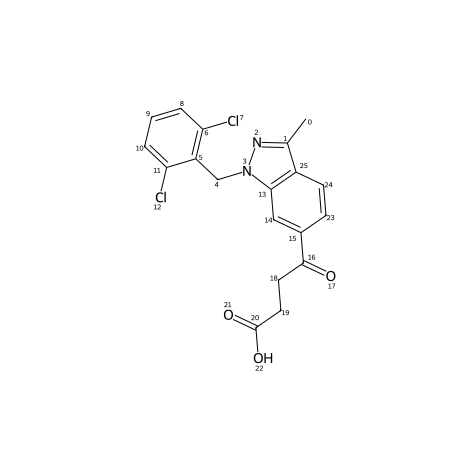 Cc1nn(Cc2c(Cl)cccc2Cl)c2cc(C(=O)CCC(=O)O)ccc12